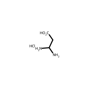 Cl.NC(N)CC(=O)O